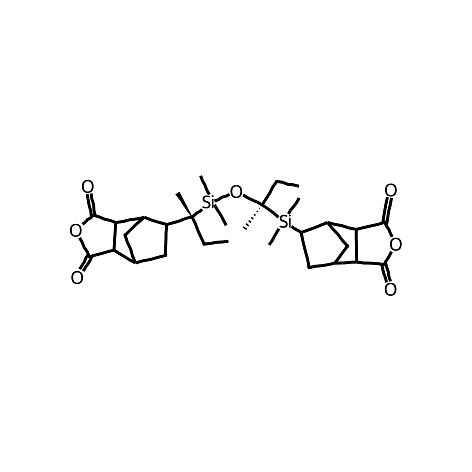 CC[C@](C)(C1CC2CC1C1C(=O)OC(=O)C21)[Si](C)(C)O[C@@](C)(CC)[Si](C)(C)C1CC2CC1C1C(=O)OC(=O)C21